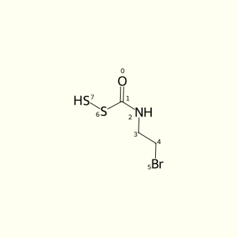 O=C(NCCBr)SS